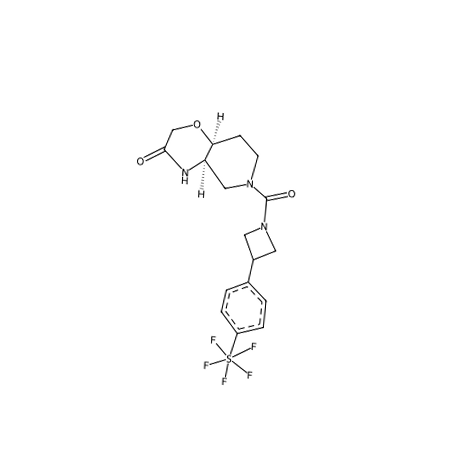 O=C1CO[C@H]2CCN(C(=O)N3CC(c4ccc(S(F)(F)(F)(F)F)cc4)C3)C[C@H]2N1